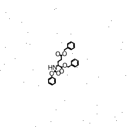 O=C(CCC(NC(=O)Oc1ccccc1)C(=O)OCc1ccccc1)OCc1ccccc1